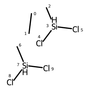 CC.C[SiH](Cl)Cl.C[SiH](Cl)Cl